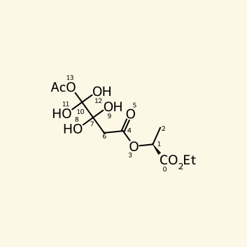 CCOC(=O)[C@H](C)OC(=O)CC(O)(O)C(O)(O)OC(C)=O